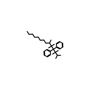 CCCCCCCCC(C)C(C)(C)C(c1ccccc1)(c1ccccc1)C(C)(C)[C](C)C